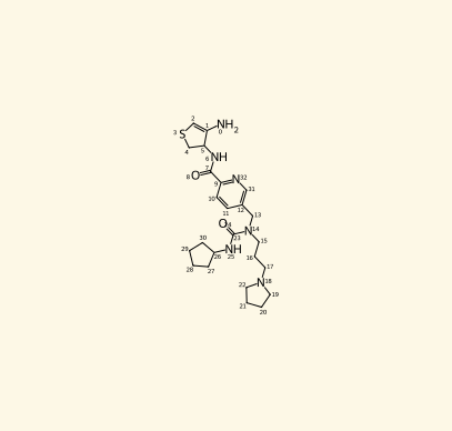 NC1=CSCC1NC(=O)c1ccc(CN(CCCN2CCCC2)C(=O)NC2CCCC2)cn1